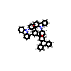 C1=CC2c3cccc(-c4cc(-c5ccc6c7ccccc7c7ccccc7c6c5)cc(-c5cccc6c7ccccc7n(-c7ccccc7)c56)c4)c3N(c3ccccc3)C2C=C1